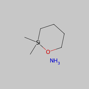 C[Si]1(C)CCCCO1.N